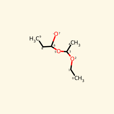 CCOC(C)OC([O])CC